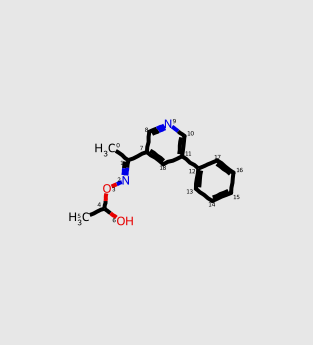 CC(=NOC(C)O)c1cncc(-c2ccccc2)c1